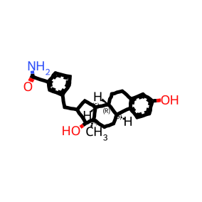 C[C@@]12CC[C@@H]3c4ccc(O)cc4CC[C@H]3[C@@H]1CC(Cc1cccc(C(N)=O)c1)C2O